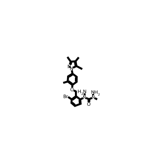 Cc1cc(-n2nc(C)c(C)c2C)ccc1OCc1c(Br)cccc1N(N)C(=O)N(C)N